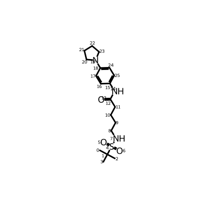 CC(C)(C)S(=O)(=O)NCCCCC(=O)Nc1ccc(N2CCCC2)cc1